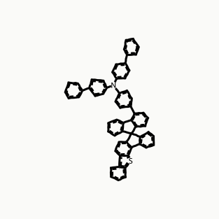 c1ccc(-c2ccc(N(c3ccc(-c4ccccc4)cc3)c3ccc(-c4cccc5c4-c4ccccc4C54c5ccccc5-c5c4ccc4c5sc5ccccc54)cc3)cc2)cc1